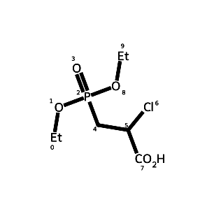 CCOP(=O)(CC(Cl)C(=O)O)OCC